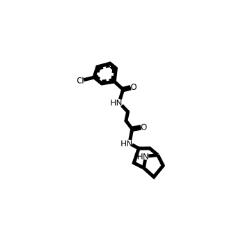 O=C(CCNC(=O)c1cccc(Cl)c1)NC1CC2CCC(C1)N2